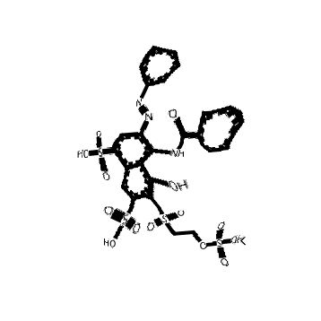 O=C(Nc1c(N=Nc2ccccc2)cc(S(=O)(=O)O)c2cc(S(=O)(=O)O)c(S(=O)(=O)CCOS(=O)(=O)O)c(O)c12)c1ccccc1